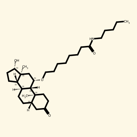 CCCCCNC(=O)CCCCCCCO[C@H]1C[C@]2(C)[C@@H](O)CC[C@H]2[C@@H]2CC[C@H]3CC(=O)CC[C@]3(C)[C@H]21